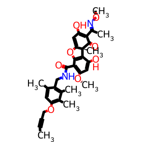 CC#CCOc1cc(C)c(CNC(=O)c2c(OC)cc(O)c3c2OC2=CC(O)=C(C(C)=NOC)C(=O)[C@]23C)c(C)c1C